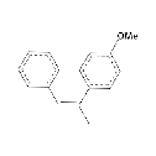 COc1ccc(/C(C)=C\c2ccccc2)cc1